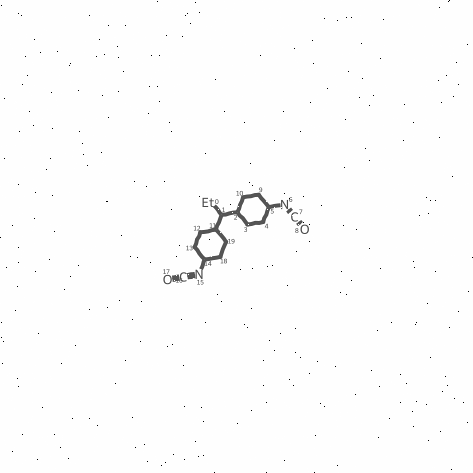 CCC(C1CCC(N=C=O)CC1)C1CCC(N=C=O)CC1